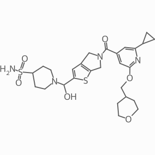 NS(=O)(=O)C1CCN(C(O)c2cc3c(s2)CN(C(=O)c2cc(OCC4CCOCC4)nc(C4CC4)c2)C3)CC1